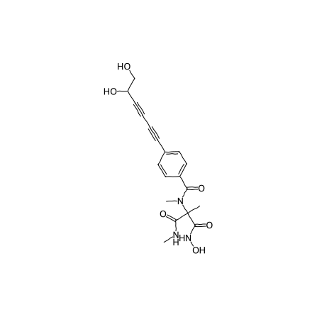 CNC(=O)C(C)(C(=O)NO)N(C)C(=O)c1ccc(C#CC#CC(O)CO)cc1